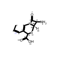 C/C=C\C1=CN2C(=O)C(N)[C@H]2SC1C(=O)O